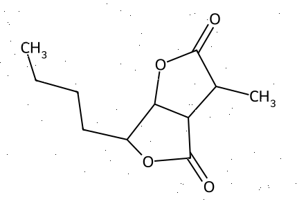 CCCCC1OC(=O)C2C(C)C(=O)OC12